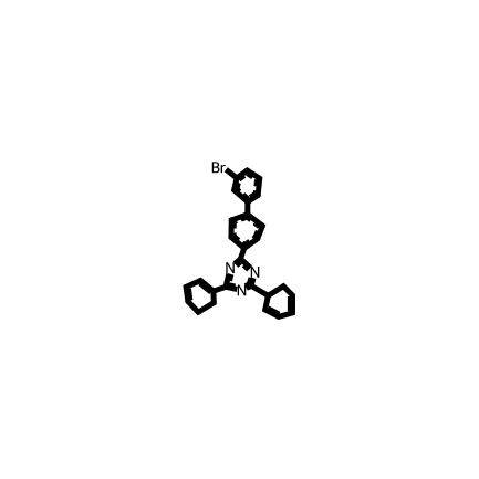 Brc1cccc(-c2ccc(-c3nc(C4=CC=CCC4)nc(C4C=CC=CC4)n3)cc2)c1